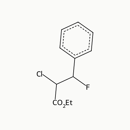 CCOC(=O)C(Cl)C(F)c1ccccc1